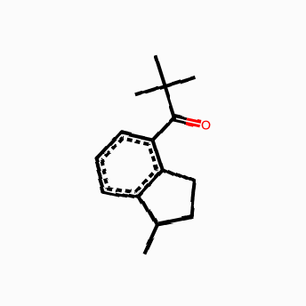 CC1CCc2c(C(=O)C(C)(C)C)cccc21